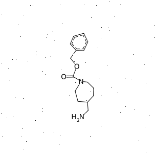 NCC1CCCN(C(=O)OCc2ccccc2)CC1